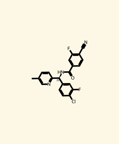 Cc1ccc([C@@H](NC(=O)c2ccc(C#N)c(F)c2)c2ccc(Cl)c(F)c2)nc1